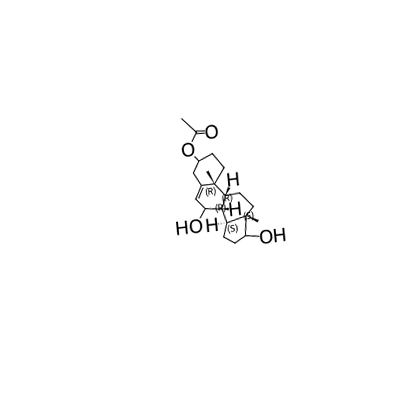 CC(=O)OC1CC[C@@]2(C)C(=CC(O)[C@@H]3[C@H]2CC[C@]2(C)C(O)CC[C@@H]32)C1